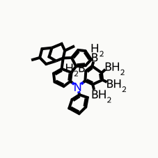 Bc1c(B)c(B)c(N(c2ccccc2)c2cccc3c2-c2ccccc2C32C(C)CC3CC(C)CC2C3)c(B)c1B